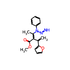 C=C(/C(C(=O)OC)=C(/C)N(N=N)c1ccccc1)c1ccco1